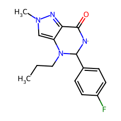 CCCN1c2cn(C)nc2C(=O)[N]C1c1ccc(F)cc1